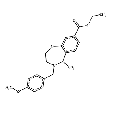 CCOC(=O)c1ccc2c(c1)OCCN(Cc1ccc(OC)cc1)C2C